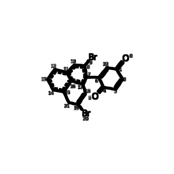 O=C1C=CC(=O)C(c2c(Br)cc3cccc4c3c2C=C(Br)C4)=C1